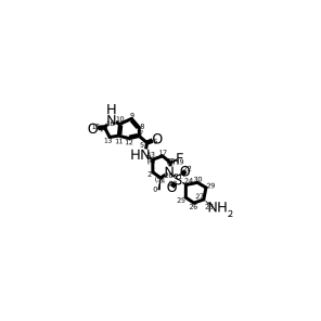 C[C@H]1C[C@@H](NC(=O)c2ccc3c(c2)CC(=O)N3)C[C@@H](F)N1S(=O)(=O)[C@H]1CC[C@@H](N)CC1